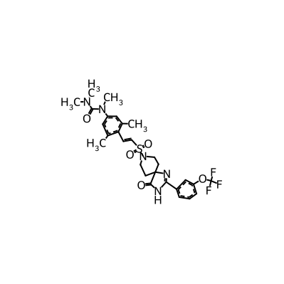 Cc1cc(N(C)C(=O)N(C)C)cc(C)c1C=CS(=O)(=O)N1CCC2(CC1)N=C(c1cccc(OC(F)(F)F)c1)NC2=O